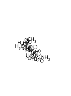 CN(C[C@@H](NC(=O)N[C@H](C(=O)N1C[C@H]2[C@H](CCC23CC3)[C@H]1C(=O)NC(CC1CCC1)C(=O)C(N)=O)C1CCCCC1)C(C)(C)C)S(C)(=O)=O